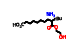 CCCCC(CCCCCCCC(=O)O)C(=O)OCCO.N